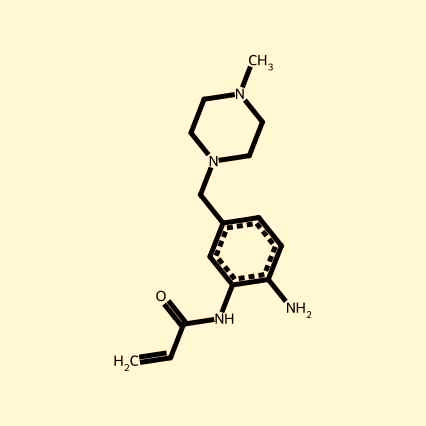 C=CC(=O)Nc1cc(CN2CCN(C)CC2)ccc1N